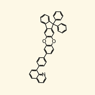 c1ccc(C2(c3ccccc3)c3ccccc3-c3cc4c(cc32)Oc2ccc(-c3ccc(-c5cccc6cccnc56)cc3)cc2O4)cc1